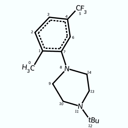 Cc1ccc(C(F)(F)F)cc1N1CCN(C(C)(C)C)CC1